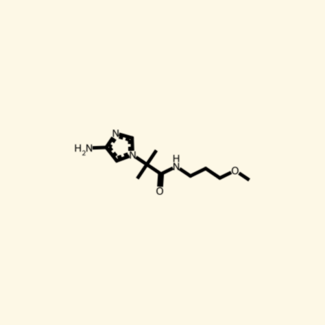 COCCCNC(=O)C(C)(C)n1cnc(N)c1